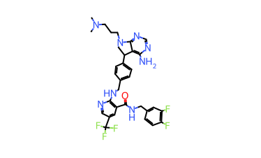 CN(C)CCCN1CC(c2ccc(CNc3ncc(C(F)(F)F)cc3C(=O)NCc3ccc(F)c(F)c3)cc2)c2c(N)ncnc21